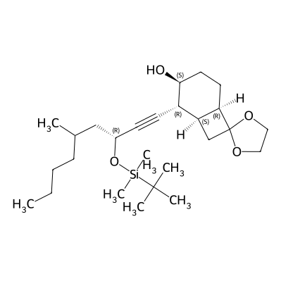 CCCCC(C)C[C@H](C#C[C@H]1[C@@H]2CC3(OCCO3)[C@@H]2CC[C@@H]1O)O[Si](C)(C)C(C)(C)C